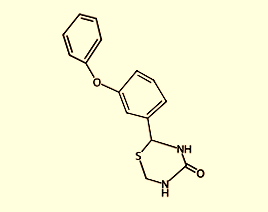 O=C1NCSC(c2cccc(Oc3ccccc3)c2)N1